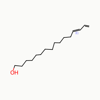 C=C/C=C/CCCCCCCCCCCCO